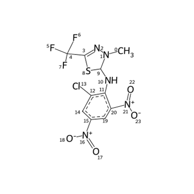 CN1N=C(C(F)(F)F)SC1Nc1c(Cl)cc([N+](=O)[O-])cc1[N+](=O)[O-]